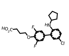 O=C(O)CCCOc1c(F)cc(-c2cc(Cl)ccc2NC2CCCC2)cc1F